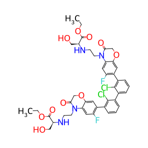 CCOC(=O)[C@H](CO)NCCN1C(=O)COc2cc(-c3cccc(-c4cccc(-c5cc6c(cc5F)N(CCN[C@@H](CO)C(=O)OCC)C(=O)CO6)c4Cl)c3Cl)c(F)cc21